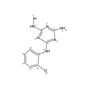 CC(C)Nc1nc(N)nc(Nc2ccccc2Cl)n1